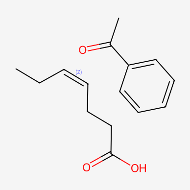 CC(=O)c1ccccc1.CC/C=C\CCC(=O)O